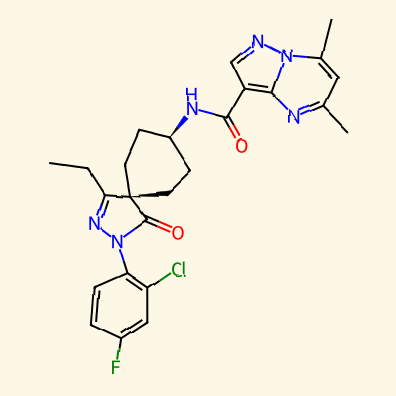 CCC1=NN(c2ccc(F)cc2Cl)C(=O)[C@]12CC[C@H](NC(=O)c1cnn3c(C)cc(C)nc13)CC2